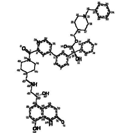 O=C(c1cc(-c2cccc([C@](O)(C(=O)OCC3CCN(Cc4ccccc4)CC3)c3ccccc3)c2)ccn1)N1CCC(CNC[C@H](O)c2ccc(O)c3[nH]c(=O)ccc23)CC1